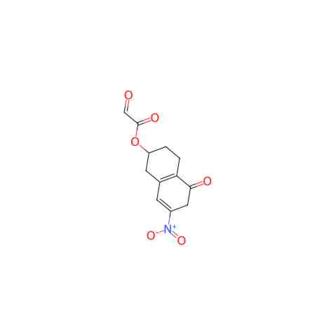 O=CC(=O)OC1CCC2=C(C=C([N+](=O)[O-])CC2=O)C1